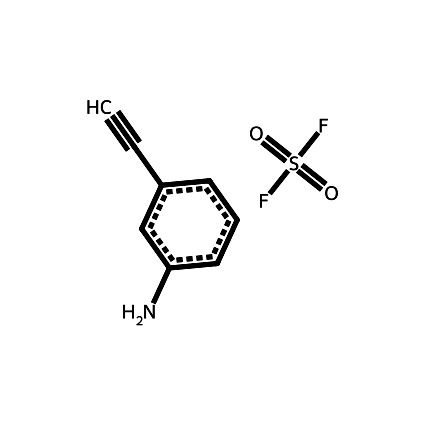 C#Cc1cccc(N)c1.O=S(=O)(F)F